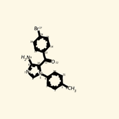 Cc1ccc(-n2cnc(N)c2C(=O)c2ccc(Br)cc2)cc1